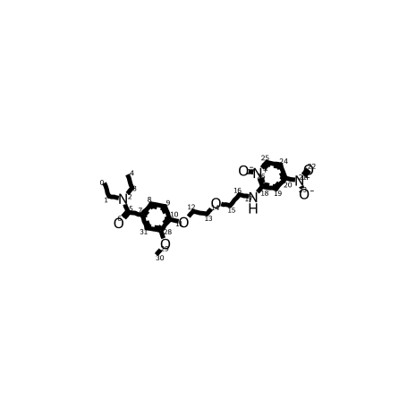 CCN(CC)C(=O)c1ccc(OCCOCCNc2cc([N+](=O)[O-])cc[n+]2[O-])c(OC)c1